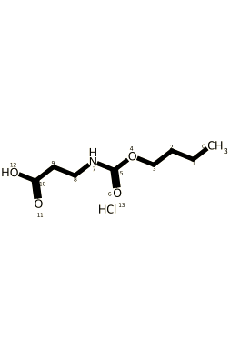 CCCCOC(=O)NCCC(=O)O.Cl